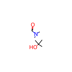 CC(C)(C)O.CN(C)C=O